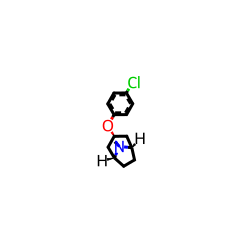 CN1[C@@H]2CC[C@H]1C[C@H](Oc1ccc(Cl)cc1)C2